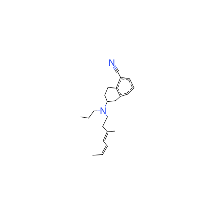 C/C=C\C=C(/C)CCN(CCC)C1CCc2c(C#N)cccc2C1